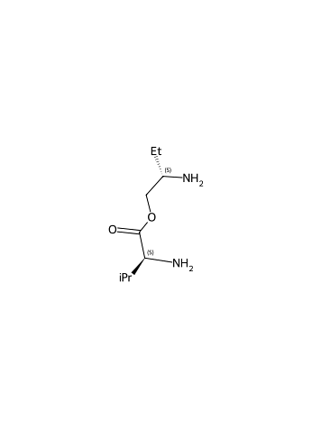 CC[C@H](N)COC(=O)[C@@H](N)C(C)C